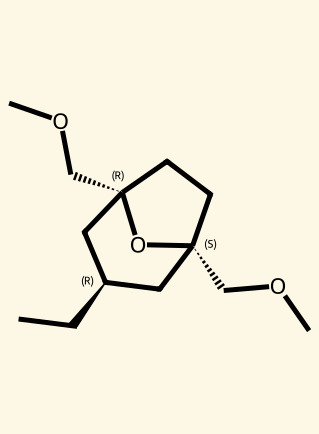 CC[C@H]1C[C@@]2(COC)CC[C@@](COC)(C1)O2